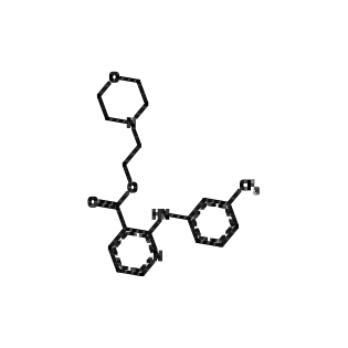 O=C(OCCN1CCOCC1)c1cccnc1Nc1cccc(C(F)(F)F)c1